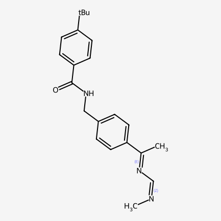 C/N=C\N=C(/C)c1ccc(CNC(=O)c2ccc(C(C)(C)C)cc2)cc1